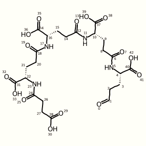 O=[C]CC[C@H](NC(=O)CC[C@H](NC(=O)CC[C@H](NC(=O)CC[C@H](NC(=O)CCC(=O)O)C(=O)O)C(=O)O)C(=O)O)C(=O)O